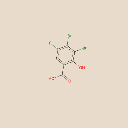 O=C(O)c1cc(F)c(Br)c(Br)c1O